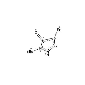 CCCCn1[nH]cc(CC)c1=O